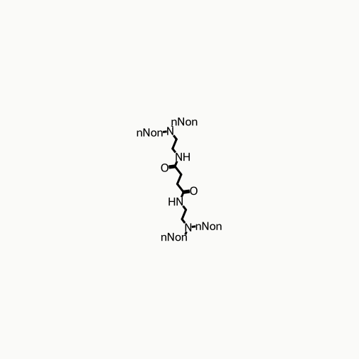 CCCCCCCCCN(CCCCCCCCC)CCNC(=O)CCC(=O)NCCN(CCCCCCCCC)CCCCCCCCC